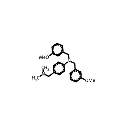 COc1cccc(CN(Cc2cccc(OC)c2)c2ccc(CN(C)C)cc2)c1